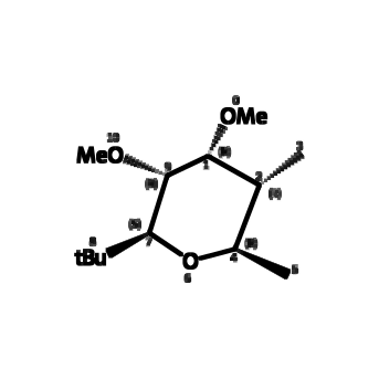 CO[C@@H]1[C@H](C)[C@@H](C)O[C@@H](C(C)(C)C)[C@@H]1OC